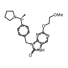 COCCOc1ncc2[nH]c(=O)n(Cc3ccc([C@H](C)N4CCCC4)cc3)c2n1